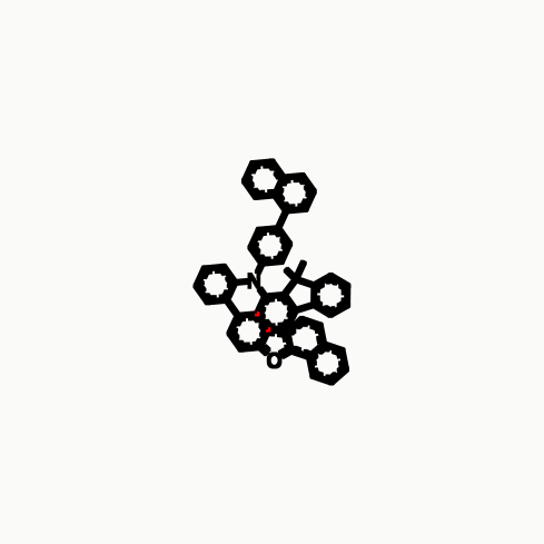 CC1(C)c2ccccc2-c2cccc(N(c3ccc(-c4cccc5ccccc45)cc3)c3ccccc3-c3ccc4oc5c6ccccc6ccc5c4c3)c21